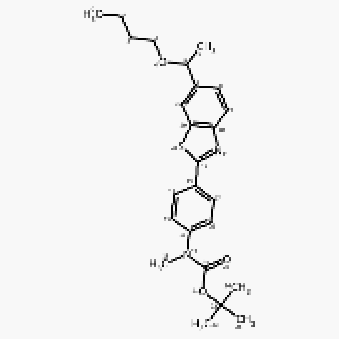 CCCCOC(C)c1ccc2nc(-c3ccc(N(C)C(=O)OC(C)(C)C)cc3)sc2c1